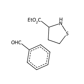 CCOC(=O)C1CCSN1.O=Cc1ccccc1